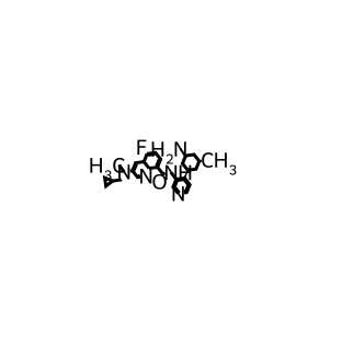 C[C@@H]1C[C@H](N)C[C@H](c2ccncc2NC(=O)C2=CC=C(F)C3C=C(N(C)CC4CC4)C=NC23)C1